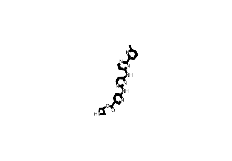 Cc1cccc(-c2nccc(Nc3ccnc(Nc4ccc(C(=O)OC5CNC5)cn4)n3)n2)n1